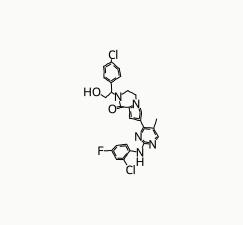 Cc1cnc(Nc2ccc(F)cc2Cl)nc1-c1cc2n(c1)CCN(C(CO)c1ccc(Cl)cc1)C2=O